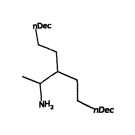 CCCCCCCCCCCCC(CCCCCCCCCCCC)C(C)N